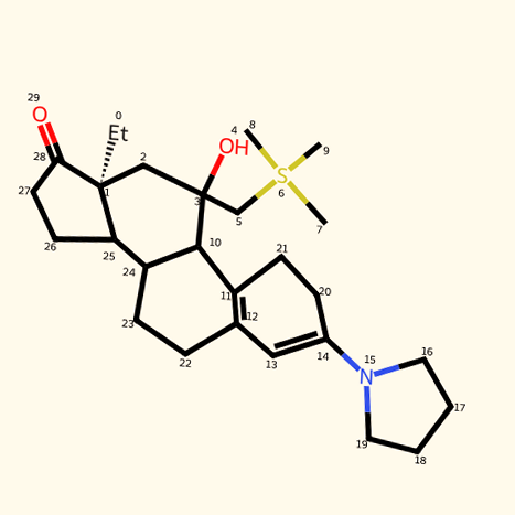 CC[C@]12CC(O)(CS(C)(C)C)C3C4=C(C=C(N5CCCC5)CC4)CCC3C1CCC2=O